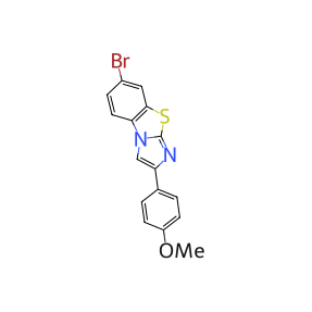 COc1ccc(-c2cn3c(n2)sc2cc(Br)ccc23)cc1